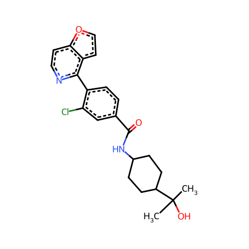 CC(C)(O)C1CCC(NC(=O)c2ccc(-c3nccc4occc34)c(Cl)c2)CC1